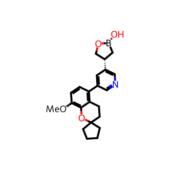 COc1ccc(-c2cncc([C@@H]3COB(O)C3)c2)c2c1OC1(CCCC1)CC2